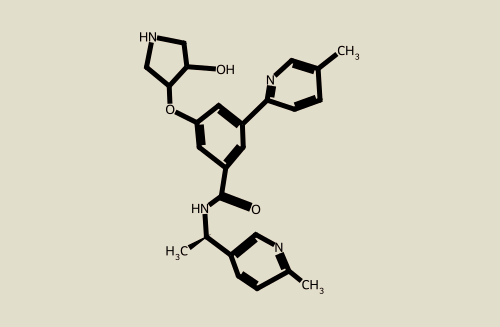 Cc1ccc(-c2cc(OC3CNCC3O)cc(C(=O)N[C@H](C)c3ccc(C)nc3)c2)nc1